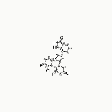 O=c1[nH][nH]c2c(-c3cc(-c4cc(F)cc(Cl)c4)n(-c4ccc(F)c(Cl)c4)n3)cccc12